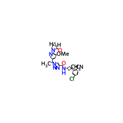 COc1cc([C@H](C)n2cc(C(=O)NC3CC(C)(c4cc(Cl)ccc4C#N)C3)nn2)cnc1N1C[C@H]2C[C@H]2C1=O